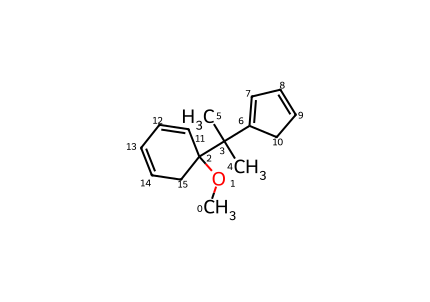 COC1(C(C)(C)C2=CC=CC2)C=CC=CC1